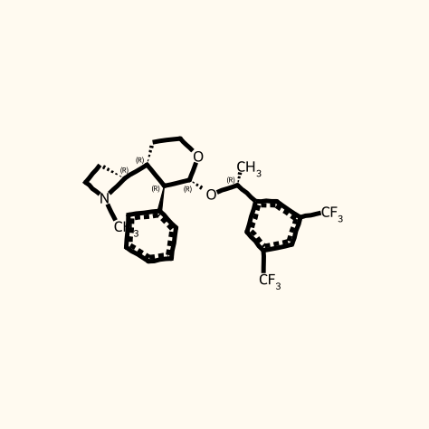 C[C@@H](O[C@H]1OCC[C@@H]([C@H]2CCN2C)[C@@H]1c1ccccc1)c1cc(C(F)(F)F)cc(C(F)(F)F)c1